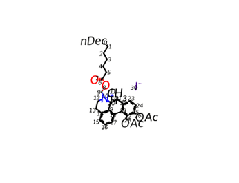 CCCCCCCCCCCCCCCC(=O)OC[N+]1(C)CCc2cccc3c2[C@@H]1Cc1ccc(OC(C)=O)c(OC(C)=O)c1-3.[I-]